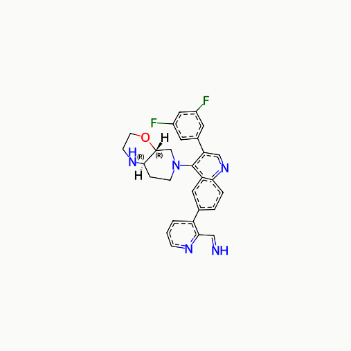 N=Cc1ncccc1-c1ccc2ncc(-c3cc(F)cc(F)c3)c(N3CC[C@H]4NCCO[C@@H]4C3)c2c1